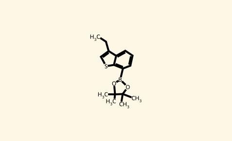 CCc1csc2c(B3OC(C)(C)C(C)(C)O3)cccc12